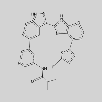 CC(C)C(=O)Nc1cncc(-c2cc3c(-c4nc5c(-c6ccc(F)s6)ccnc5[nH]4)n[nH]c3cn2)c1